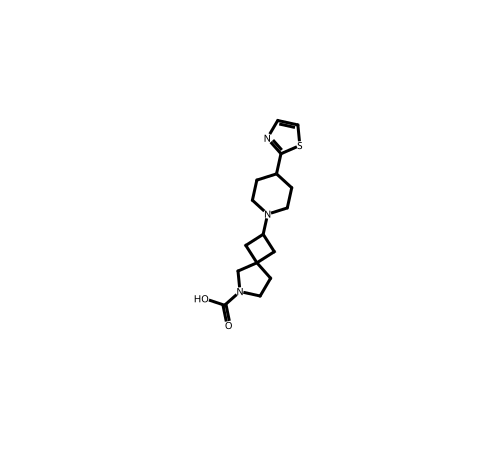 O=C(O)N1CCC2(CC(N3CCC(c4nccs4)CC3)C2)C1